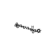 O=C(NOCCOCCOCCOCCS(=O)(=O)Cl)OCc1ccccc1